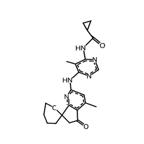 Cc1cc(Nc2ncnc(NC(=O)C3CC3)c2C)nc2c1C(=O)CC21CCCCC1